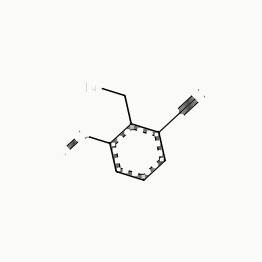 N#Cc1cccc(N=O)c1CBr